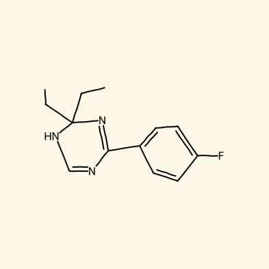 CCC1(CC)N=C(c2ccc(F)cc2)N=CN1